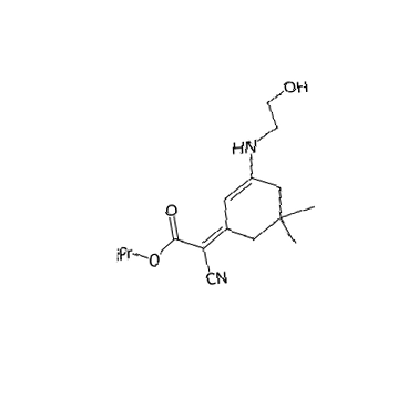 CC(C)OC(=O)/C(C#N)=C1\C=C(NCCO)CC(C)(C)C1